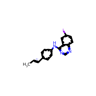 C/C=C/c1ccc(Nc2ncnc3ccc(I)cc23)cc1